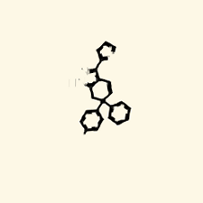 Fc1ccc(C2(c3ccccc3)C=Cc3c(-c4cccs4)n[nH]c3C2)cc1